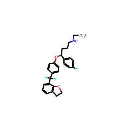 O=C(O)CNCCCC(Oc1ccc(C(F)(F)c2cccc3c2OCC3)cc1)c1ccc(F)cc1